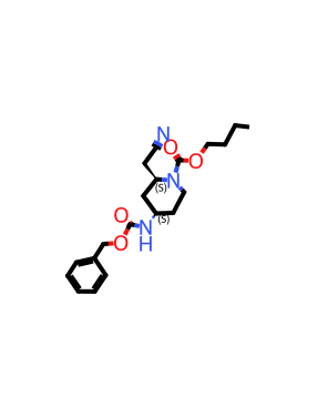 CCCCOC(=O)N1CC[C@H](NC(=O)OCc2ccccc2)C[C@H]1CC#N